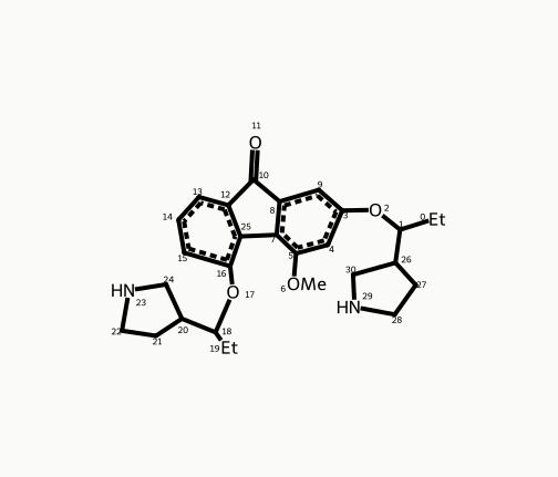 CCC(Oc1cc(OC)c2c(c1)C(=O)c1cccc(OC(CC)C3CCNC3)c1-2)C1CCNC1